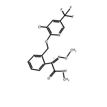 CNC(=O)/C(=N\OC)c1ccccc1COc1ncc(C(F)(F)F)cc1Cl